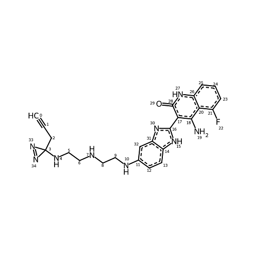 C#CCC1(NCCNCCNc2ccc3[nH]c(-c4c(N)c5c(F)cccc5[nH]c4=O)nc3c2)N=N1